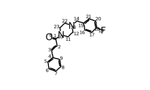 O=C(/C=C/c1ccccc1)N1CCN(Cc2ccc(F)cc2)CC1